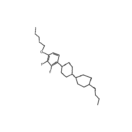 CCCCCOc1ccc(C2CCC(C3CCC(CCCC)CC3)CC2)c(F)c1F